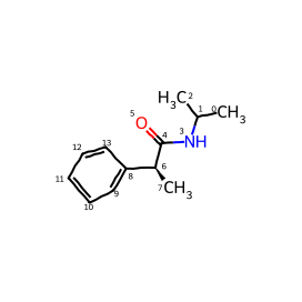 CC(C)NC(=O)[C@@H](C)c1ccccc1